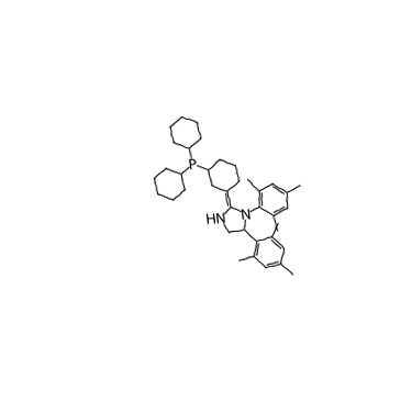 Cc1cc(C)c(C2CNC(=C3CCCC(P(C4CCCCC4)C4CCCCC4)C3)N2c2c(C)cc(C)cc2C)c(C)c1